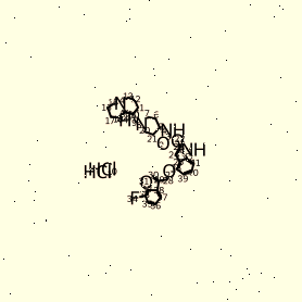 Cl.Cl.O=C(NC1CCN(C[C@@H]2CCCN3CCCC[C@H]23)CC1)Oc1cc2c(OCc3coc4c(F)cccc34)cccc2[nH]1